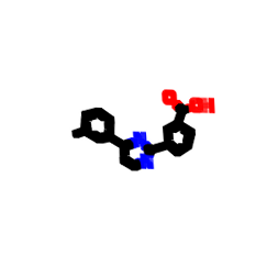 Cc1cccc(-c2ccnc(-c3cccc(C(=O)O)c3)n2)c1